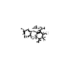 C=C(C)/C=C(\C(O)CC)[C@@H](C1=C(O)C(Cl)=C(C)C(C)C1)C(C)(C)C